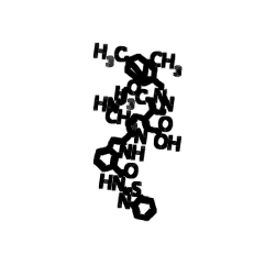 CNCCOC12CC3(C)CC(C)(CC(Cn4ncc(-c5ccc(-c6cc7cccc(C(=O)Nc8nc9ccccc9s8)c7[nH]6)nc5C(=O)O)c4C)(C3)C1)C2